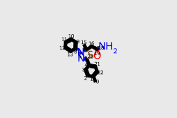 Cc1ccc(C2=NN(c3ccccc3)C(C)(CC(N)=O)S2)cc1